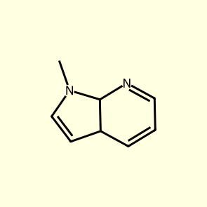 CN1C=CC2C=CC=NC21